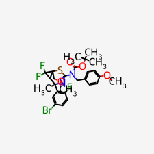 COCC12SC(N(Cc3ccc(OC)cc3)C(=O)OC(C)(C)C)=N[C@](C)(c3cc(Br)ccc3F)C1C2(F)F